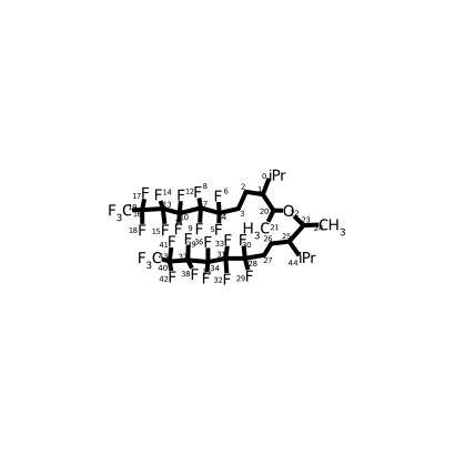 CC(C)C(CCC(F)(F)C(F)(F)C(F)(F)C(F)(F)C(F)(F)C(F)(F)F)C(C)OC(C)C(CCC(F)(F)C(F)(F)C(F)(F)C(F)(F)C(F)(F)C(F)(F)F)C(C)C